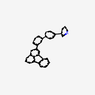 c1cncc(-c2ccc(-c3cccc(-c4cc5c6c(cccc6c4)-c4ccccc4-5)c3)cc2)c1